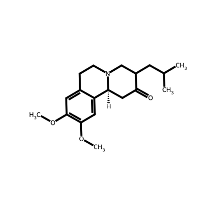 COc1cc2c(cc1OC)[C@@H]1CC(=O)C(CC(C)C)CN1CC2